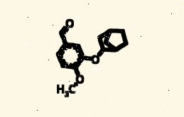 COc1ccc(C=O)cc1OC1CC2CCC1C2